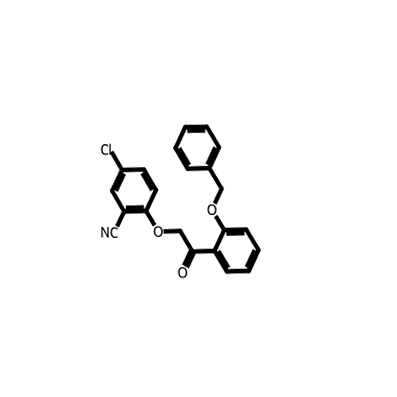 N#Cc1cc(Cl)ccc1OCC(=O)c1ccccc1OCc1ccccc1